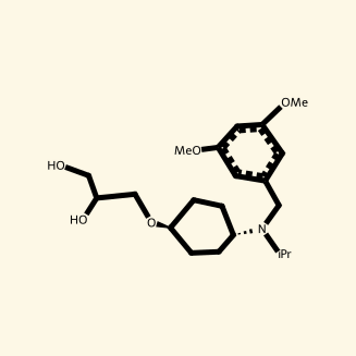 COc1cc(CN(C(C)C)[C@H]2CC[C@H](OCC(O)CO)CC2)cc(OC)c1